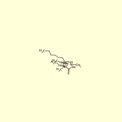 CCCCCCCC.CCCCCCCC.CCCCCCCCNC.CN(C)C(=S)S